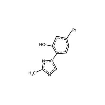 Cc1ncn(-c2ccc(C(C)C)cc2O)n1